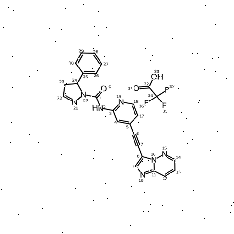 O=C(Nc1cc(C#Cc2cnc3cccnn23)ccn1)N1N=CCC1c1ccccc1.O=C(O)C(F)(F)F